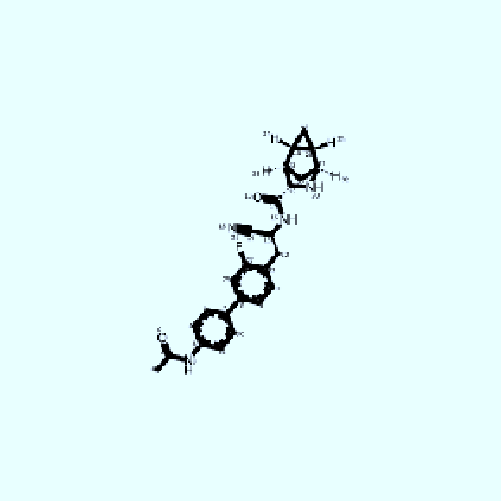 CC(=O)Nc1ccc(-c2ccc(C[C@@H](C#N)NC(=O)[C@H]3N[C@H]4C[C@@H]3[C@@H]3C[C@@H]34)c(F)c2)cc1